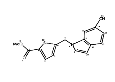 COC(=O)c1ccc(Cn2ccc3ccc(C#N)cc32)s1